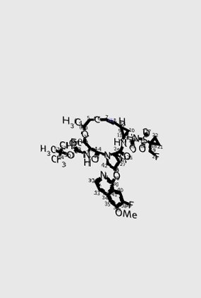 CC[C@@H]1O[C@H](C)CC/C=C\[C@@H]2C[C@@]2(C(=O)NS(=O)(=O)C2(CF)CC2)NC(=O)[C@@H]2C[C@@H](Oc3nccc4cc(OC)c(F)cc34)CN2C(=O)[C@H]1NC(=O)OC(C)(C)C(F)(F)F